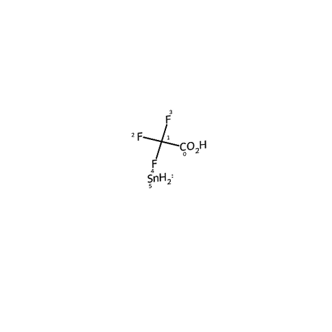 O=C(O)C(F)(F)F.[SnH2]